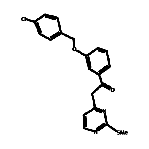 CSc1nccc(CC(=O)c2cccc(OCc3ccc(Cl)cc3)c2)n1